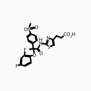 CC(Oc1ccc(F)cc1F)(C(=O)Nc1nc(CCC(=O)O)cs1)c1ccc(S(C)(=O)=O)cc1